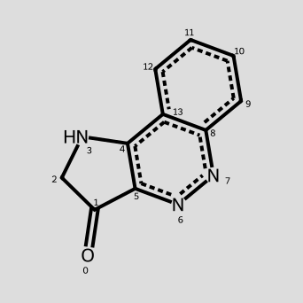 O=C1CNc2c1nnc1ccccc21